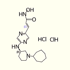 Cl.Cl.O=C(/C=C/c1cnc(N[C@@H]2CCCN(C3CCCCCC3)C2)cn1)NO